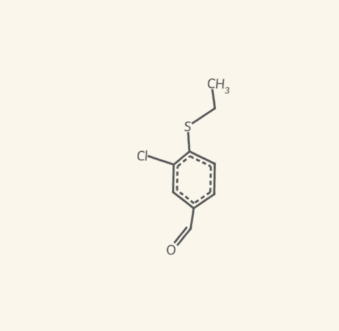 CCSc1ccc(C=O)cc1Cl